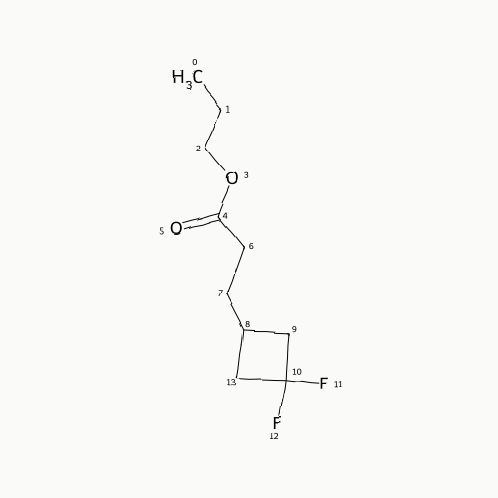 CCCOC(=O)CCC1CC(F)(F)C1